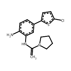 C=C(Nc1cc(-c2ccc(Cl)s2)ccc1N)N1CCCC1